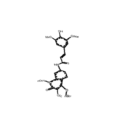 CCCCCCCCn1c(=O)c(OC(C)=O)c(OCCCC)c2ccc(NC(=O)C=Cc3cc(OC)c(O)c(OC)c3)cc21